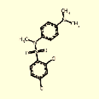 CN(C)c1ccc(N(C)S(=O)(=O)c2ccc(Cl)cc2Cl)cc1